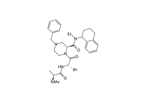 CCN(C(=O)[C@@H]1CN(Cc2ccccc2)CCN1C(=O)[C@@H](NC(=O)[C@H](C)NC)C(C)C)C1CCCc2ccccc21